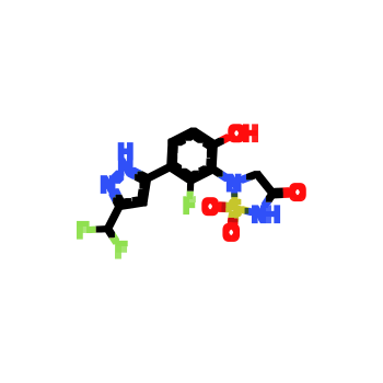 O=C1CN(c2c(O)ccc(-c3cc(C(F)F)n[nH]3)c2F)S(=O)(=O)N1